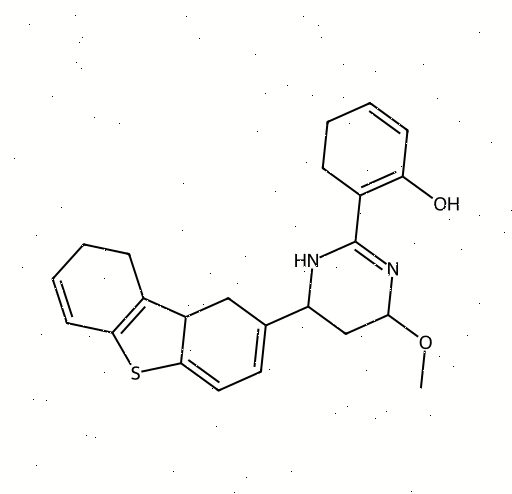 COC1CC(C2=CC=C3SC4=C(CCC=C4)C3C2)NC(C2=C(O)C=CCC2)=N1